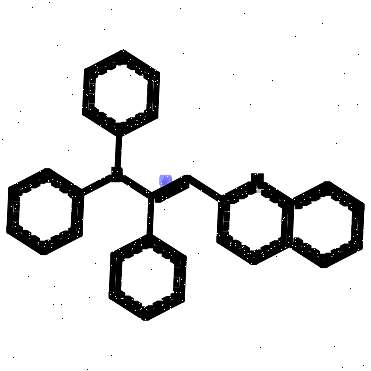 C(=C(\B(c1ccccc1)c1ccccc1)c1ccccc1)/c1ccc2ccccc2n1